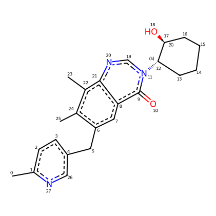 Cc1ccc(Cc2cc3c(=O)n([C@H]4CCCC[C@@H]4O)cnc3c(C)c2C)cn1